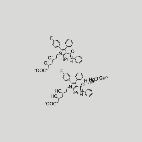 CC(C)c1c(C(=O)Nc2ccccc2)c(-c2ccccc2)c(-c2ccc(F)cc2)n1CC[C@@H](O)C[C@@H](O)CC(=O)[O-].CC(C)c1c(C(=O)Nc2ccccc2)c(-c2ccccc2)c(-c2ccc(F)cc2)n1CC[C@@H]([O-])C[C@@H]([O-])CC(=O)[O-].O.O.O.[Ca+2].[Ca+2]